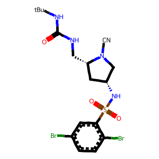 CC(C)(C)NC(=O)NC[C@H]1C[C@@H](NS(=O)(=O)c2cc(Br)ccc2Br)CN1C#N